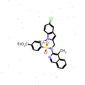 CCOC(=O)c1ccc(S(=O)(=O)N(Cc2cc3cc(Cl)ccc3n2C)c2ncc3ccccc3c2C)cc1